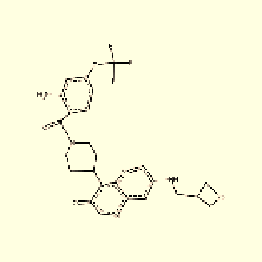 Nc1cc(OC(F)(F)F)ccc1C(=O)N1CCC(n2c(=O)cnc3cc(NCC4COC4)cnc32)CC1